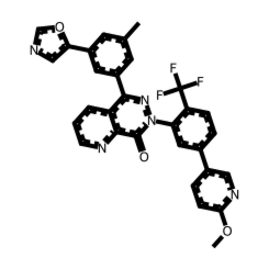 COc1ccc(-c2ccc(C(F)(F)F)c(-n3nc(-c4cc(C)cc(-c5cnco5)c4)c4cccnc4c3=O)c2)cn1